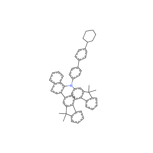 CC1(C)c2ccccc2-c2ccc(-c3ccc4ccccc4c3N(c3ccc(-c4ccc(C5CCCCC5)cc4)cc3)c3ccc4c(c3)C(C)(C)c3ccccc3-4)cc21